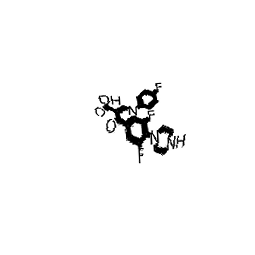 O=C(O)c1cn(-c2ccc(F)cc2)c2c(F)c(N3CCNCC3)c(F)cc2c1=O